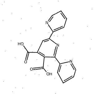 O=C(O)c1cc(-c2ccccn2)nc(-c2ccccn2)c1C(=O)O